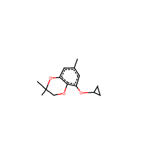 Cc1cc(OC2CC2)c2c(c1)OC(C)(C)CO2